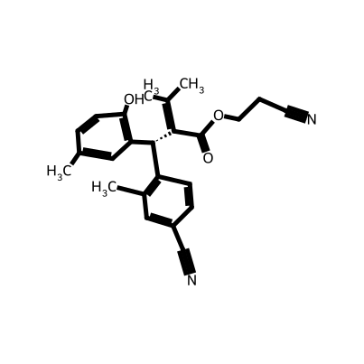 CC(C)=C(C(=O)OCCC#N)[C@H](c1ccc(C#N)cc1C)c1cc(C)ccc1O